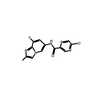 Cc1cn2cc(NC(=O)c3cnc(Cl)cn3)cc(F)c2n1